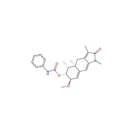 CO[C@@H]1C=C2C=C3C(=C(C)C(=O)N3C)C[C@]2(C)[C@@H](C)[C@H]1OC(=O)Nc1ccccc1